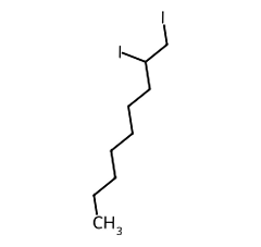 CCCCCCCC(I)CI